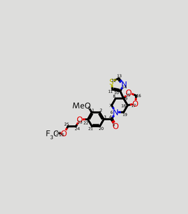 COc1cc(C(=O)N2CCC3(c4cscn4)OCOC3C2)ccc1OCCOC(F)(F)F